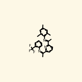 CC(=Nc1ccccc1C(F)(F)F)c1cccc(C(C)=Nc2c(C)cc(C)cc2C)n1